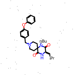 CCCCN1C(=O)/C(=C/C(C)C)NC(=O)C12CCN(Cc1ccc(Oc3ccccc3)cc1)CC2